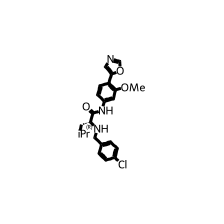 COc1cc(NC(=O)[C@@H](CC(C)C)NCc2ccc(Cl)cc2)ccc1-c1cnco1